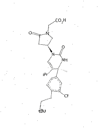 CC(C)C1=CN([C@H]2CC(=O)N(CC(=O)O)C2)C(=O)N[C@@]1(C)c1ccc(CCC(C)(C)C)c(Cl)c1